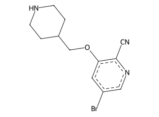 N#Cc1ncc(Br)cc1OCC1CCNCC1